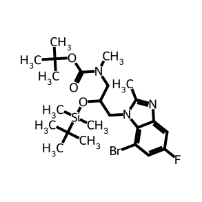 Cc1nc2cc(F)cc(Br)c2n1CC(CN(C)C(=O)OC(C)(C)C)O[Si](C)(C)C(C)(C)C